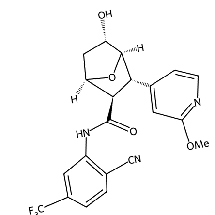 COc1cc([C@H]2[C@H]3O[C@H](C[C@@H]3O)[C@@H]2C(=O)Nc2cc(C(F)(F)F)ccc2C#N)ccn1